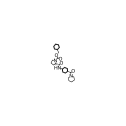 O=C(Nc1ccc(C(=O)N2CCCCC2)cc1)[C@@H]1CCCN1C(=O)OCc1ccccc1